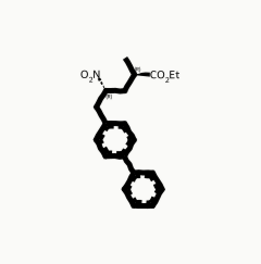 CCOC(=O)[C@H](C)C[C@H](Cc1ccc(-c2ccccc2)cc1)[N+](=O)[O-]